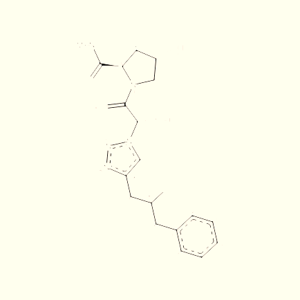 CNC(=O)[C@H]1C[C@H](O)CN1C(=O)[C@@H](n1cc(CC(O)Cc2ccccc2)nn1)C(C)(C)C